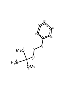 COC([SiH3])(OC)OCCc1ccccc1